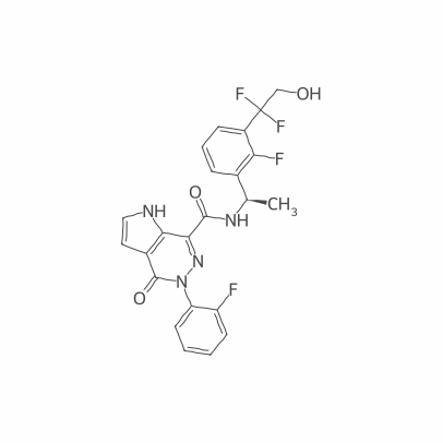 C[C@@H](NC(=O)c1nn(-c2ccccc2F)c(=O)c2cc[nH]c12)c1cccc(C(F)(F)CO)c1F